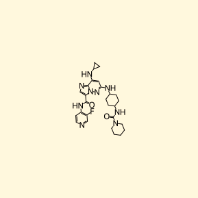 O=C(Nc1ccncc1F)c1cnc2c(NC3CC3)cc(NC3CCC(NC(=O)N4CCCCC4)CC3)nn12